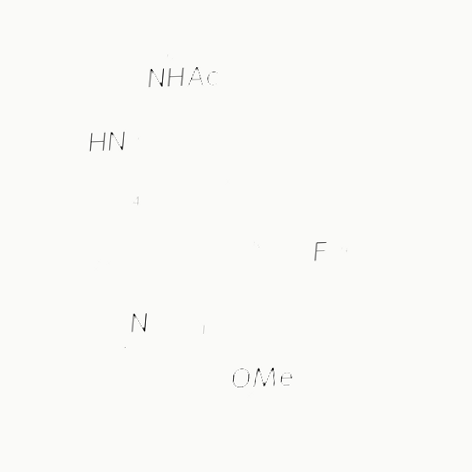 COc1ncc(NNC(C)=O)cc1F